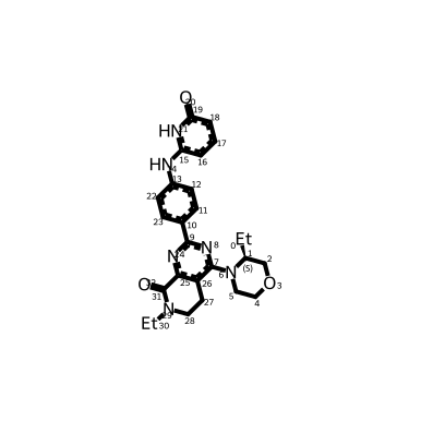 CC[C@H]1COCCN1c1nc(-c2ccc(Nc3cccc(=O)[nH]3)cc2)nc2c1CCN(CC)C2=O